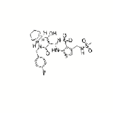 CS(=O)(=O)NCc1csc2c1S(=O)(=O)N=C(C1=C(O)[C@@H]3C4CCC(CC4)[C@@H]3N(Cc3ccc(F)cc3)C1=O)N2